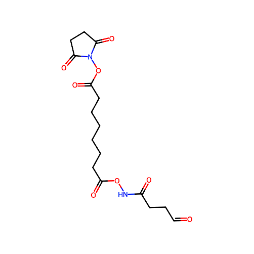 O=CCCC(=O)NOC(=O)CCCCCCC(=O)ON1C(=O)CCC1=O